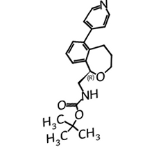 CC(C)(C)OC(=O)NC[C@@H]1OCCCc2c(-c3ccncc3)cccc21